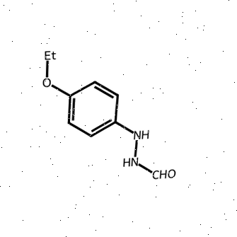 CCOc1ccc(NNC=O)cc1